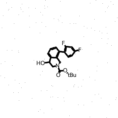 CC(C)(C)OC(=O)N1Cc2c(-c3ccc(F)cc3F)cccc2C(O)C1